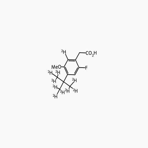 [2H]c1c(CC(=O)O)c(F)cc(C(C([2H])([2H])[2H])(C([2H])([2H])[2H])C([2H])([2H])[2H])c1OC